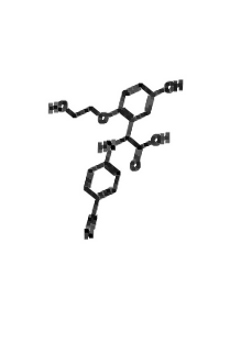 N#Cc1ccc(NC(C(=O)O)c2cc(O)ccc2OCCO)cc1